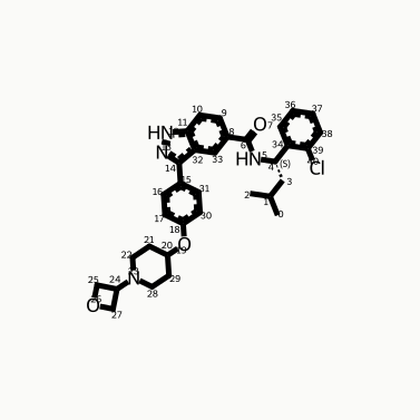 CC(C)C[C@H](NC(=O)c1ccc2[nH]nc(-c3ccc(OC4CCN(C5COC5)CC4)cc3)c2c1)c1ccccc1Cl